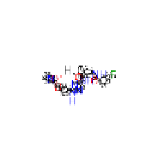 Cc1ccc(NC(=O)c2cccc(CF)c2)cc1C(=O)Nc1cnc(Nc2ccc(OCC[N+]3([O-])CCCC3)cc2)nc1